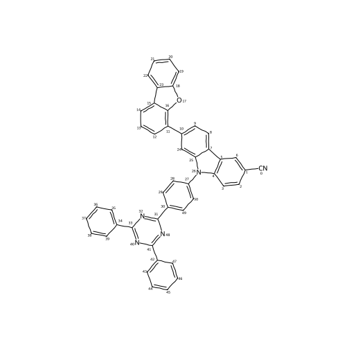 N#Cc1ccc2c(c1)c1ccc(-c3cccc4c3oc3ccccc34)cc1n2-c1ccc(-c2nc(-c3ccccc3)nc(-c3ccccc3)n2)cc1